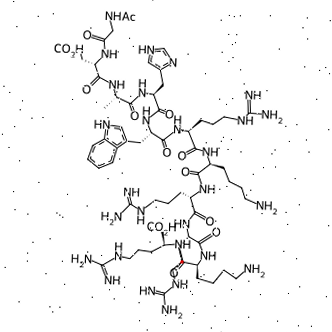 CC(=O)NCC(=O)N[C@@H](CC(=O)O)C(=O)N[C@@H](C)C(=O)N[C@@H](Cc1c[nH]cn1)C(=O)N[C@@H](Cc1c[nH]c2ccccc12)C(=O)N[C@@H](CCCNC(=N)N)C(=O)N[C@@H](CCCCN)C(=O)N[C@@H](CCCNC(=N)N)C(=O)N[C@@H](CCCNC(=N)N)C(=O)N[C@@H](CCCCN)C(=O)N[C@@H](CCCNC(=N)N)C(=O)O